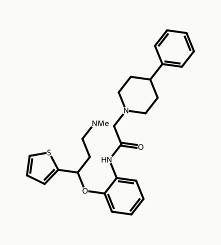 CNCCC(Oc1ccccc1NC(=O)CN1CCC(c2ccccc2)CC1)c1cccs1